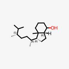 CC(C)[C@@H](C)CC[C@@H](C)[C@H]1CC[C@H]2C(O)CCCC12C